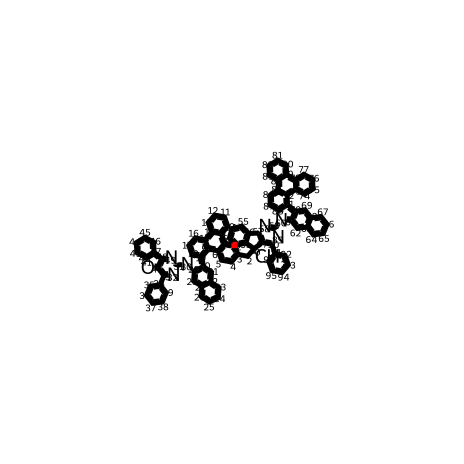 CC1(Cc2ccc3c(c2)c2ccccc2c2ccc4c(c5cc6ccccc6cc5n4-c4nc(-c5ccccc5)c5oc6ccccc6c5n4)c23)c2ccccc2-c2nc(-n3c4cc5ccccc5cc4c4c5c6ccccc6c6ccccc6c5ccc43)nc(-c3ccccc3)c21